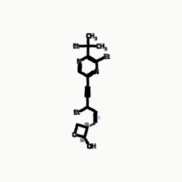 CCc1nc(C#CC(/C=C\[C@H]2CO[C@@H]2O)CC)cnc1C(C)(C)CC